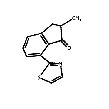 CC1Cc2cccc(-c3nccs3)c2C1=O